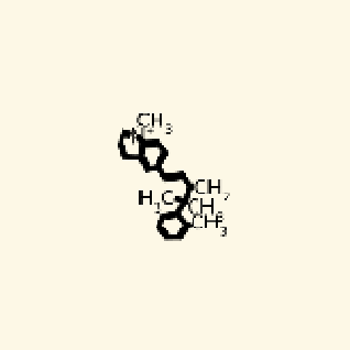 C=C(/C=C/c1ccc2c(ccc[n+]2C)c1)C(C)(C)c1ccccc1C